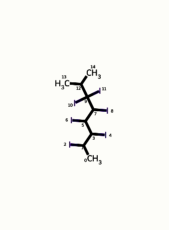 CC(I)C(I)C(I)C(I)C(I)(I)C(C)C